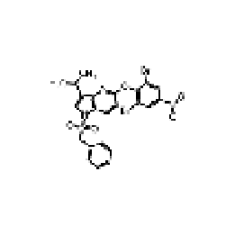 CC(C)c1cn(S(=O)(=O)Cc2ccccc2)c2ccc(Oc3c(Br)cc([N+](=O)[O-])cc3Br)nc12